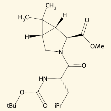 COC(=O)[C@@H]1[C@@H]2[C@H](CN1C(=O)[C@H](CC(C)C)NC(=O)OC(C)(C)C)C2(C)C